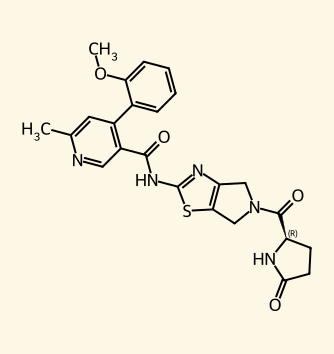 COc1ccccc1-c1cc(C)ncc1C(=O)Nc1nc2c(s1)CN(C(=O)[C@H]1CCC(=O)N1)C2